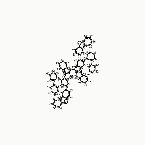 c1ccc(-c2cccc(-c3cccc4oc5ccccc5c34)c2-c2ccc3c4c5c6ccccc6n6c7cc(-c8c(-c9ccccc9)cccc8-c8cccc9oc%10ccccc%10c89)ccc7c(c7c8ccccc8n(c3c2)c74)c56)cc1